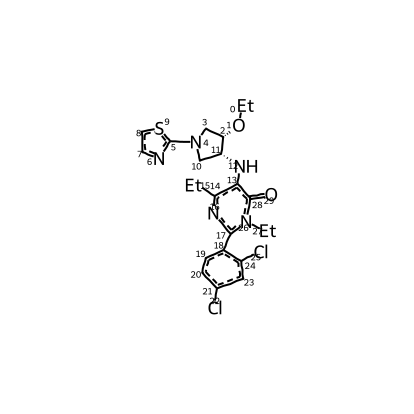 CCO[C@H]1CN(c2nccs2)C[C@H]1Nc1c(CC)nc(-c2ccc(Cl)cc2Cl)n(CC)c1=O